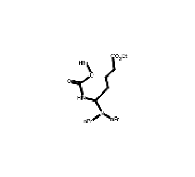 CCCN(CCC)C(CCCC(=O)OCC)NC(=O)OC(C)(C)C